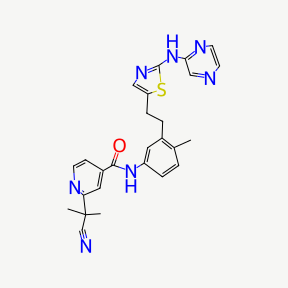 Cc1ccc(NC(=O)c2ccnc(C(C)(C)C#N)c2)cc1CCc1cnc(Nc2cnccn2)s1